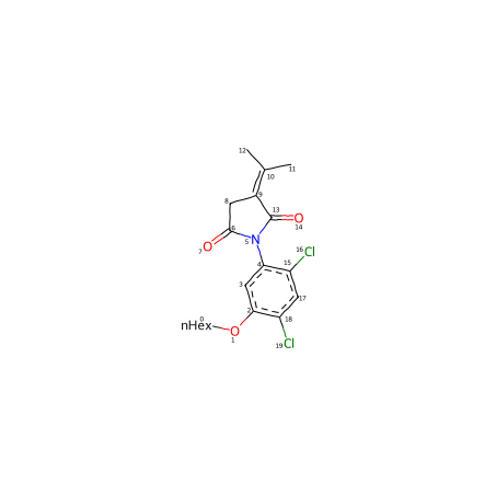 CCCCCCOc1cc(N2C(=O)CC(=C(C)C)C2=O)c(Cl)cc1Cl